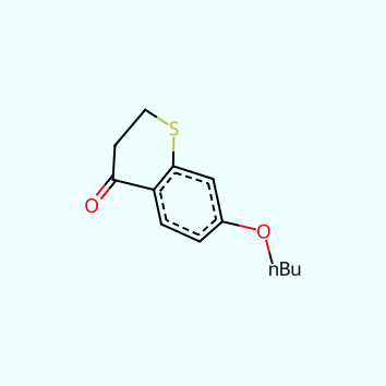 CCCCOc1ccc2c(c1)SCCC2=O